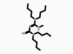 CCCCN(CCCC)C(=N)/N=C(\NC)N(CCCC)CCCC